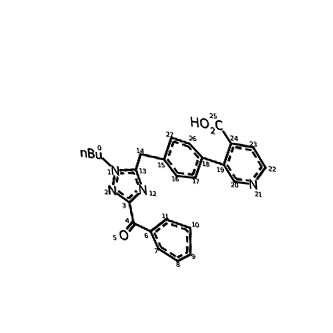 CCCCn1nc(C(=O)c2ccccc2)nc1Cc1ccc(-c2cnccc2C(=O)O)cc1